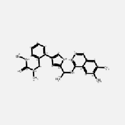 Cc1cc2cnnc(NC(C)c3cc(-c4ccccc4CN(C)C(=O)OC(C)(C)C)cs3)c2cc1C